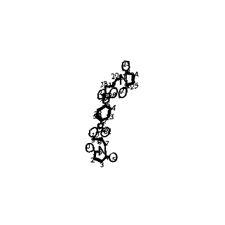 O=C1C=CC(=O)N1CC1COB(c2ccc(B3OCC(CN4C(=O)C=CC4=O)O3)cc2)O1